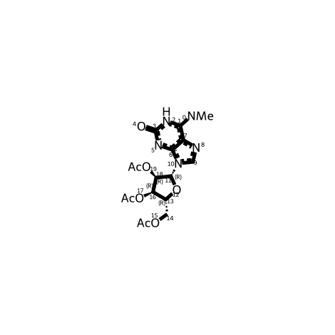 CNc1[nH]c(=O)nc2c1ncn2[C@@H]1O[C@H](COC(C)=O)[C@@H](OC(C)=O)[C@H]1OC(C)=O